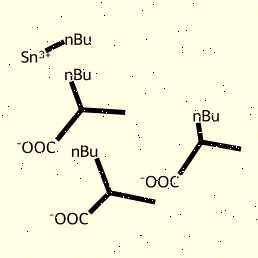 CCCCC(C)C(=O)[O-].CCCCC(C)C(=O)[O-].CCCCC(C)C(=O)[O-].CCC[CH2][Sn+3]